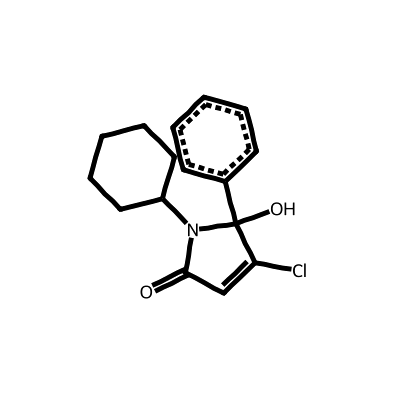 O=C1C=C(Cl)C(O)(c2ccccc2)N1C1CCCCC1